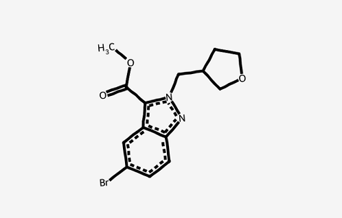 COC(=O)c1c2cc(Br)ccc2nn1CC1CCOC1